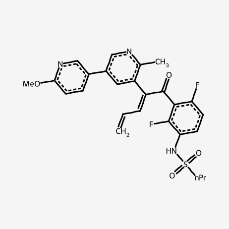 C=C/C=C(/C(=O)c1c(F)ccc(NS(=O)(=O)CCC)c1F)c1cc(-c2ccc(OC)nc2)cnc1C